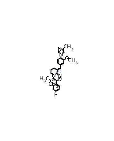 COc1cc(/C=C2\CCCN3C2=NOC(c2ccc(F)cc2)[C@@H]3C(C)C)ccc1-n1cnc(C)c1